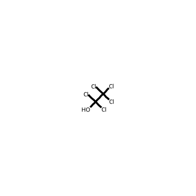 OC(Cl)(Cl)C(Cl)(Cl)Cl